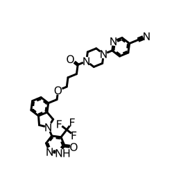 N#Cc1ccc(N2CCN(C(=O)CCCOCc3cccc4c3CN(c3cn[nH]c(=O)c3C(F)(F)F)C4)CC2)nc1